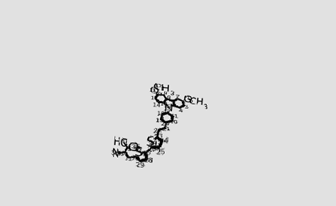 COc1ccc2c(c1)c1cc(OC)ccc1n2-c1ccc(C=Cc2ccc(-c3ccc(C=C(C#N)C(=O)O)s3)s2)cc1